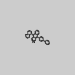 c1ccc(-c2ccc(-c3c4ccccc4c(-c4cccc5ccccc45)c4ccncc34)cc2)cc1